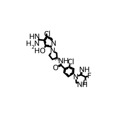 N=CN(C(=N)C(F)F)c1ccc(C(=O)N[C@@H]2CCN(c3ncc(Cl)c(C(=N)N)c3O)C2)c(Cl)c1